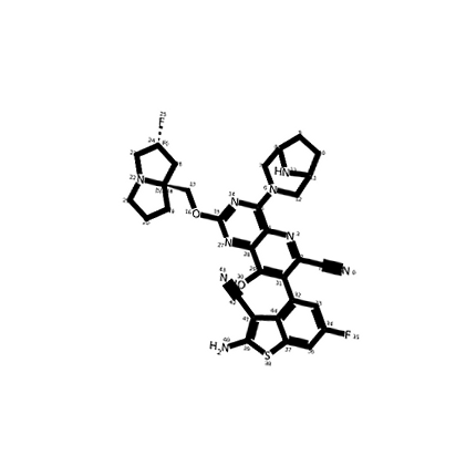 N#Cc1nc2c(N3CC4CCC(C3)N4)nc(OC[C@@]34CCCN3C[C@H](F)C4)nc2c(O)c1-c1cc(F)cc2sc(N)c(C#N)c12